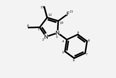 Cc1nn(-c2ccccc2)c(F)c1C